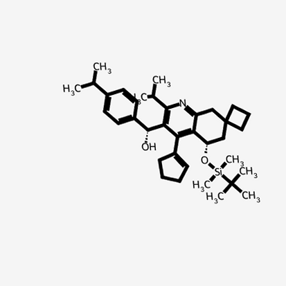 CC(C)c1ccc([C@@H](O)c2c(C(C)C)nc3c(c2C2=CCCC2)[C@@H](O[Si](C)(C)C(C)(C)C)CC2(CCC2)C3)cc1